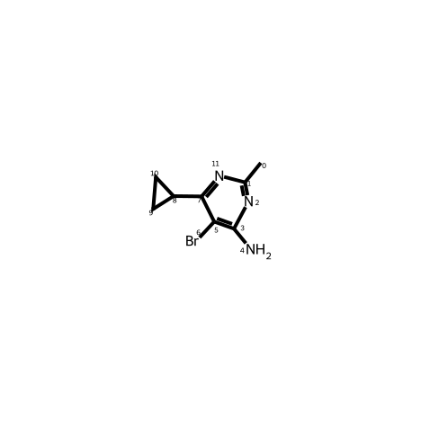 Cc1nc(N)c(Br)c(C2CC2)n1